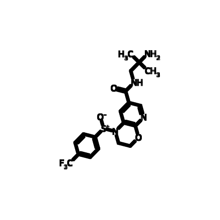 CC(C)(N)CNC(=O)c1cnc2c(c1)N([S+]([O-])c1ccc(C(F)(F)F)cc1)CCO2